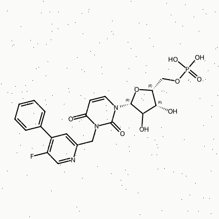 O=c1ccn([C@@H]2O[C@H](COP(=O)(O)O)[C@H](O)C2O)c(=O)n1Cc1cc(-c2ccccc2)c(F)cn1